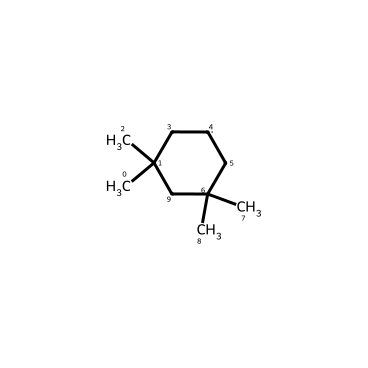 CC1(C)C[CH]CC(C)(C)C1